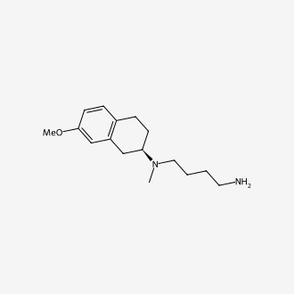 COc1ccc2c(c1)C[C@H](N(C)CCCCN)CC2